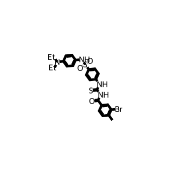 CCN(CC)c1ccc(NS(=O)(=O)c2ccc(NC(=S)NC(=O)c3ccc(C)c(Br)c3)cc2)cc1